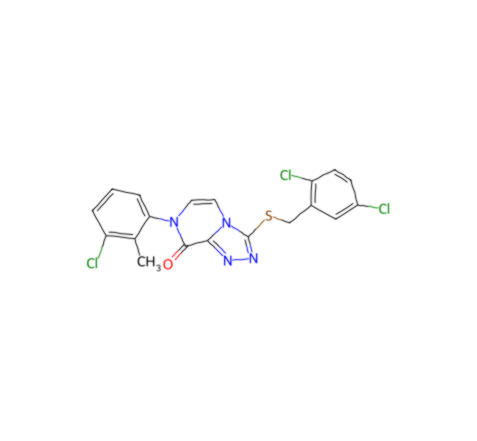 Cc1c(Cl)cccc1-n1ccn2c(SCc3cc(Cl)ccc3Cl)nnc2c1=O